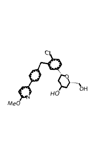 COc1ccc(-c2ccc(Cc3cc([C@H]4CC(O)C[C@@H](CO)O4)ccc3Cl)cc2)cn1